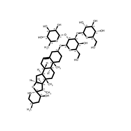 C[C@H]1CN[C@@]2(O[C@H]3C[C@H]4[C@@H]5CC=C6C[C@@H](O[C@@H]7O[C@H](CO)[C@H](O)[C@H](O[C@@H]8O[C@H](CO)[C@@H](O)[C@H](O)[C@H]8O)[C@H]7O[C@@H]7O[C@@H](C)[C@H](O)[C@@H](O)[C@H]7O)CC[C@]6(C)[C@H]5CC[C@]4(C)[C@H]3[C@@H]2C)[C@@H](O)C1